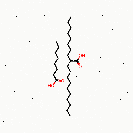 CCCCCCCC(=O)O.CCCCCCCCCCC(CCCCCCCC)C(=O)O